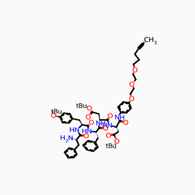 CC#CCCCOCCOCCOc1ccc(NC(=O)[C@H](CC(=O)OC(C)(C)C)NC(=O)[C@H](CC(=O)OC(C)(C)C)NC(=O)[C@H](Cc2ccccc2)NC(=O)[C@H](Cc2ccc(OC(C)(C)C)cc2)NC(=O)[C@@H](N)Cc2ccccc2)cc1